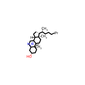 CC(C)CCC[C@@H](C)[C@H]1CC[C@@H]2[C@]1(C)CC[C@H]1[C@@]2(N)CCC2C[C@@H](O)CC[C@@]21C